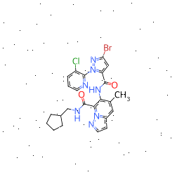 Cc1cc2ccnn2c(C(=O)NCC2CCCC2)c1NC(=O)c1cc(Br)nn1-c1ncccc1Cl